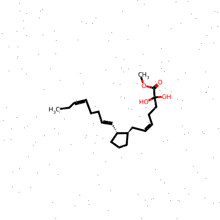 CC/C=C\CC/C=C/[C@H]1CCC[C@@H]1C/C=C\CCC(O)(O)C(=O)OC